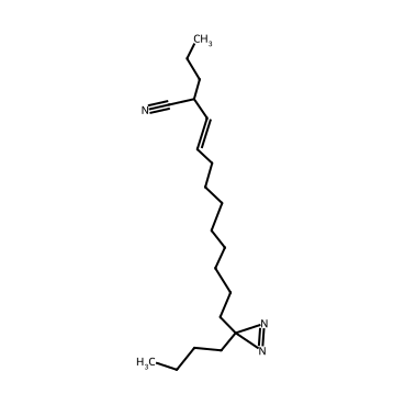 CCCCC1(CCCCCCCC/C=C/C(C#N)CCC)N=N1